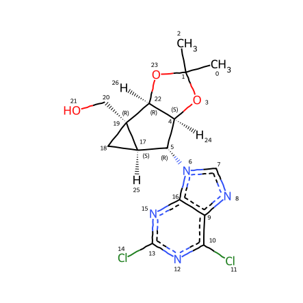 CC1(C)O[C@H]2[C@H](n3cnc4c(Cl)nc(Cl)nc43)[C@H]3C[C@@]3(CO)[C@H]2O1